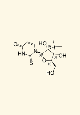 CC1(C)[C@]2(O)[C@H](n3ccc(=O)[nH]c3=S)O[C@H](CO)[C@]12O